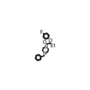 CCC(Oc1ccc(F)cc1)C(=O)N1CCN(Cc2ccccc2)CC1